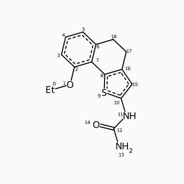 CCOc1cccc2c1-c1sc(NC(N)=O)cc1CC2